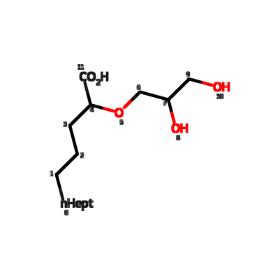 CCCCCCCCCCC(OCC(O)CO)C(=O)O